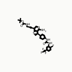 CC(C)(C)OC(=O)NCC#Cc1cnc(N)c2c(-c3ccc(NC(=O)Nc4cc(C(F)(F)F)ccc4F)cc3)csc12